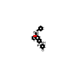 COc1cc2c(cc1Nc1ccc(Cl)cc1)C[C@@H]1[C@@H]3CCCC[C@]23CCN1C(=O)OCc1ccccc1